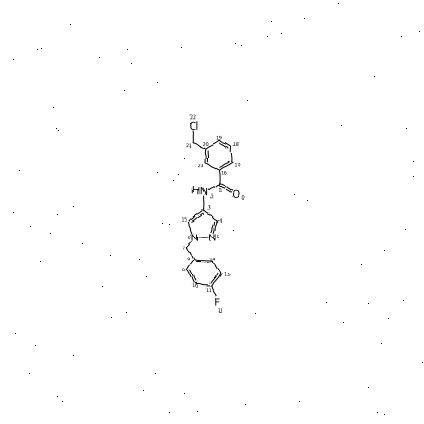 O=C(Nc1cnn(Cc2ccc(F)cc2)c1)c1cccc(CCl)c1